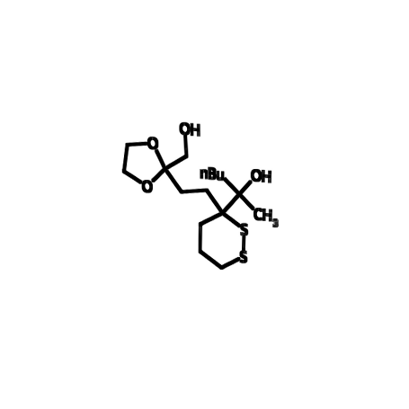 CCCCC(C)(O)C1(CCC2(CO)OCCO2)CCCSS1